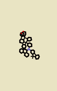 CC1(C)c2ccccc2-c2ccc(N(c3cccc(C4(c5ccccc5)c5ccccc5C5(c6ccccc6)c6ccccc6-c6cccc4c65)c3)c3cc4ccccc4c4ccccc34)cc21